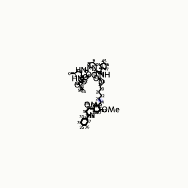 C=CCC(NC(=O)[C@@H]1CCCN1C(=O)[C@@H](NC(=O)OCCCC/C=C/c1cc2c(OC)cc(-c3ccccc3)nc2cc1OC)C1CCCC1)C(=O)NS(=O)(=O)C1CC1